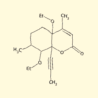 CC#CC12OC(=O)C=C(C)C1(OCC)CCC(C)C2OCC